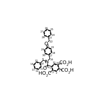 O=C(O)c1cc(C(=O)O)c(C(=O)N(Cc2ccccc2)Cc2ccc(OCc3ccccc3)cc2)cc1C(=O)O